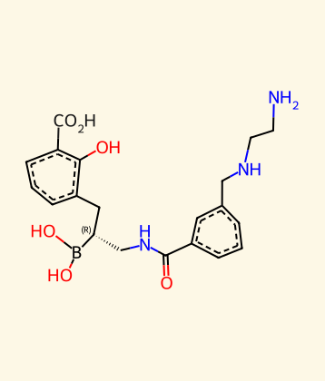 NCCNCc1cccc(C(=O)NC[C@@H](Cc2cccc(C(=O)O)c2O)B(O)O)c1